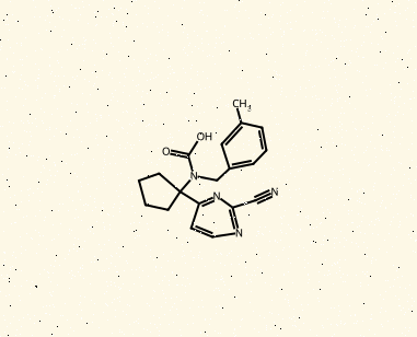 Cc1cccc(CN(C(=O)O)C2(c3ccnc(C#N)n3)CCCC2)c1